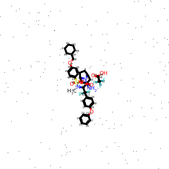 CN(C(C(=O)N1C2CCC1CC(N)C2)C(F)(F)c1ccc(Oc2ccccc2)cc1)S(=O)(=O)c1ccc(OCC2CCCCC2)cc1.O=C(O)C(F)(F)F